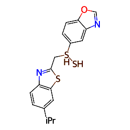 CC(C)c1ccc2nc(C[SH](S)c3ccc4ocnc4c3)sc2c1